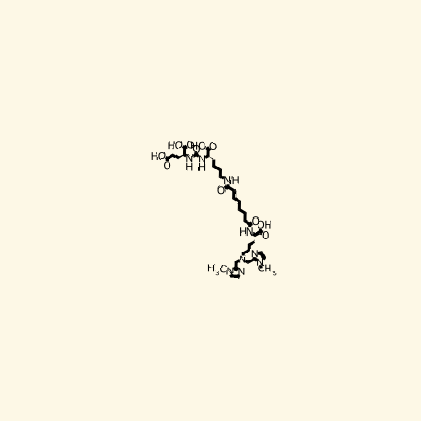 Cn1ccnc1CN(CCCC[C@H](NC(=O)CCCCCCC(=O)NCCCC[C@H](NC(=O)N[C@@H](CCC(=O)O)C(=O)O)C(=O)O)C(=O)O)Cc1nccn1C